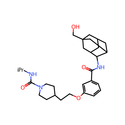 CC(C)NC(=O)N1CCC(CCOc2cccc(C(=O)NC3C4CC5CC3CC(CO)(C5)C4)c2)CC1